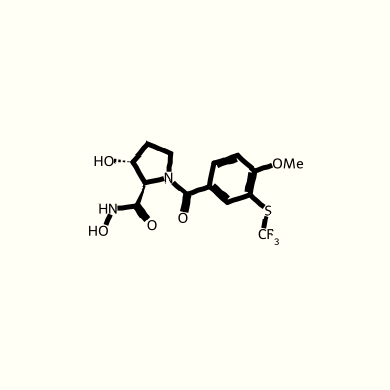 COc1ccc(C(=O)N2CC[C@@H](O)[C@@H]2C(=O)NO)cc1SC(F)(F)F